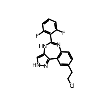 Fc1cccc(F)c1C1=Nc2ccc(CCCl)cc2-c2n[nH]cc2N1